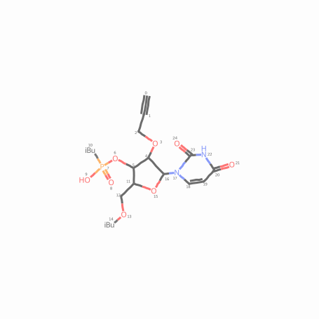 C#CCOC1C(OP(=O)(O)C(C)CC)C(COC(C)CC)OC1n1ccc(=O)[nH]c1=O